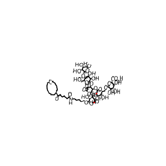 O=C(CCCCC(=O)C1CCCCCCCCCCC1)NCCCCCO[C@@H]1OC2O[C@@H]2C(O[C@@H]2OC3O[C@@H]3C(O[C@@H]3OC(CO)[C@@H](O[C@H]4OC5O[C@@H]5C(O)C4O)C(O)C3O)C2O[C@H]2OC(CO[C@H]3OC(C(=O)O)[C@@H](O)C(O)C3O)[C@@H](O)C(O)C2O)C1O